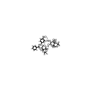 CC(=O)N[C@H]1[C@H](OC[C@H]2O[C@@H](Oc3ccc([N+](=O)[O-])cc3)[C@H](OC(=O)c3ccccc3)[C@H]3OC(C)(C)O[C@H]32)O[C@@H]2COC(C)(C)O[C@H]2[C@@H]1O